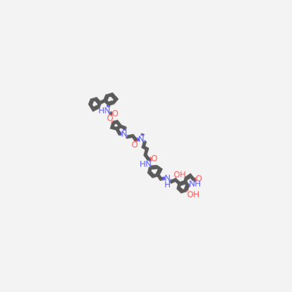 CN(CCCCC(=O)Nc1ccc(CNC[C@H](O)c2ccc(O)c3[nH]c(=O)ccc23)cc1)C(=O)CCN1CC2CC(OC(=O)Nc3ccccc3-c3ccccc3)CC2C1